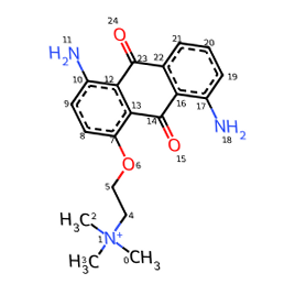 C[N+](C)(C)CCOc1ccc(N)c2c1C(=O)c1c(N)cccc1C2=O